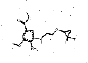 COC(=O)c1cc(NCCOC2CC2(F)F)c(N)c(OC)c1